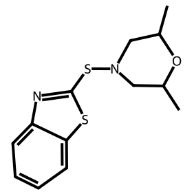 CC1CN(Sc2nc3ccccc3s2)CC(C)O1